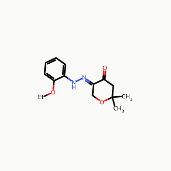 CCOc1ccccc1NN=C1COC(C)(C)CC1=O